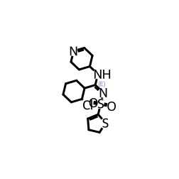 O=S(=O)(/N=C(/NC1CC=NCC1)C1CCCCC1Cl)C1=CCCS1